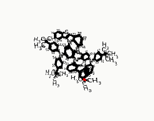 CC(C)(C)c1ccc(N(c2ccc(C(C)(C)C)cc2)c2ccc3c(c2)N(c2cccc4c2oc2ccccc24)c2cc(N(c4ccc(C(C)(C)C)cc4)c4ccc(C(C)(C)C)cc4)cc4c2B3c2cccc3c5sc6ccccc6c5n-4c23)cc1